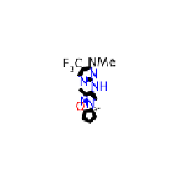 CNc1nc(Nc2cn([C@@]3(C)CCCC3=O)nc2C)ncc1C(F)(F)F